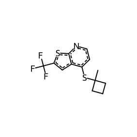 CC1(Sc2ccnc3sc(C(F)(F)F)cc23)CCC1